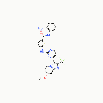 COc1ccn2c(-c3ccnc(Nc4ccc(C(=O)Nc5ccccc5N)s4)n3)c(C(F)(F)F)nc2c1